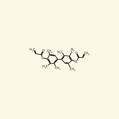 C=CC(=O)Oc1c(C)cc(-c2cc(C)c(OC(=O)C=C)c(C)c2C)c(C)c1C